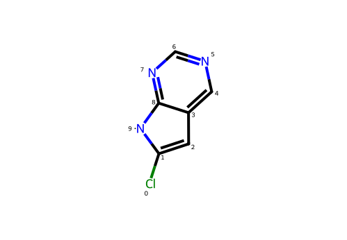 ClC1=Cc2cncnc2[N]1